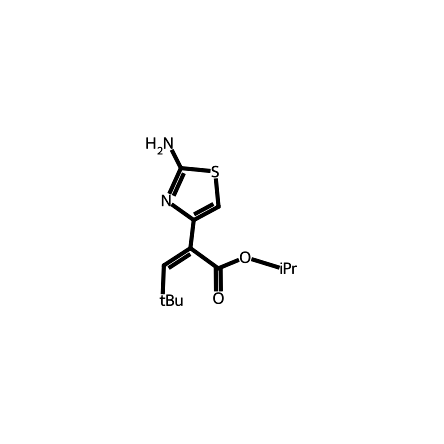 CC(C)OC(=O)C(=CC(C)(C)C)c1csc(N)n1